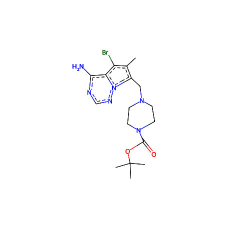 Cc1c(Br)c2c(N)ncnn2c1CN1CCN(C(=O)OC(C)(C)C)CC1